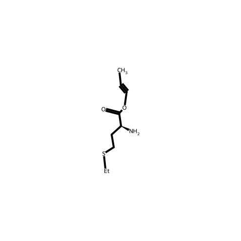 CC#COC(=O)[C@@H](N)CCSCC